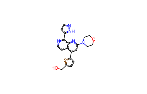 OCc1ccc(-c2cc(N3CCOCC3)nc3c(-c4ccn[nH]4)nccc23)s1